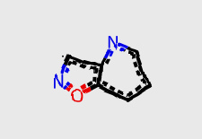 [c]1noc2cccnc12